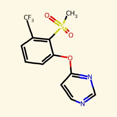 CS(=O)(=O)c1c(Oc2ccncn2)cccc1C(F)(F)F